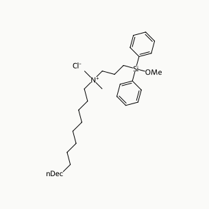 CCCCCCCCCCCCCCCCCC[N+](C)(C)CCC[Si](OC)(c1ccccc1)c1ccccc1.[Cl-]